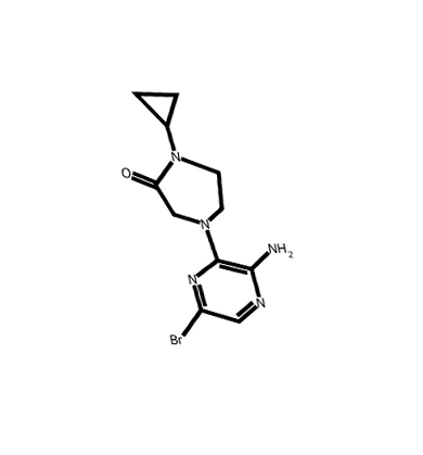 Nc1ncc(Br)nc1N1CCN(C2CC2)C(=O)C1